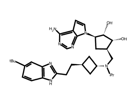 CC(C)N(C[C@H]1C[C@@H](n2ccc3c(N)ncnc32)[C@H](O)[C@@H]1O)[C@H]1C[C@H](CCc2nc3cc(C(C)(C)C)ccc3[nH]2)C1